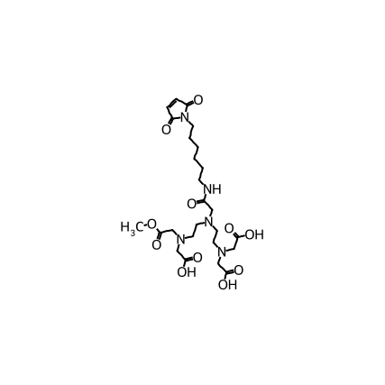 COC(=O)CN(CCN(CCN(CC(=O)O)CC(=O)O)CC(=O)NCCCCCCN1C(=O)C=CC1=O)CC(=O)O